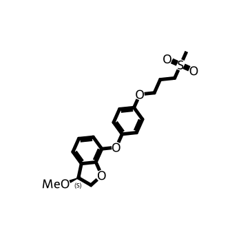 CO[C@@H]1COc2c(Oc3ccc(OCCCS(C)(=O)=O)cc3)cccc21